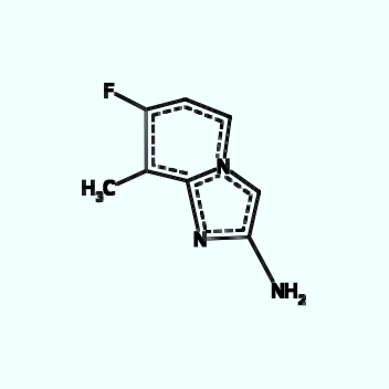 Cc1c(F)ccn2cc(N)nc12